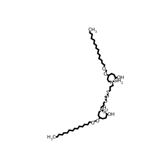 CCCCCCCCCCCCCCCOCOC1CCC(O)[SiH2]N(CCCSSSSCCCN2CCC(OCOCCCCCCCCCCCCCCC)CCC(O)[SiH2]2)CC1